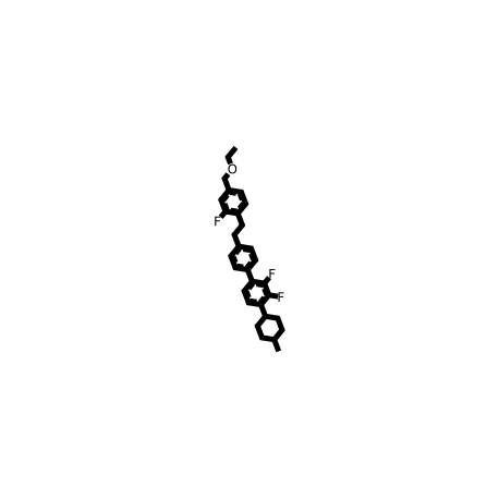 CCOCc1ccc(CCc2ccc(-c3ccc(C4CCC(C)CC4)c(F)c3F)cc2)c(F)c1